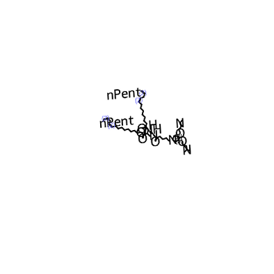 CCCCC/C=C\C/C=C\CCCCCCCCOC(=O)C(CNC(=O)CCCCN1C[C@H](OCCN(C)C)[C@H](OCCN(C)C)C1)NC(=O)CCCCCCC/C=C\C/C=C\CCCCC